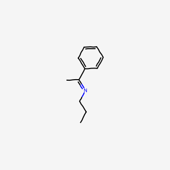 CCCN=C(C)c1ccccc1